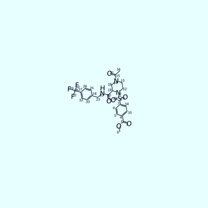 COC(=O)c1ccc(S(=O)(=O)N2CCN(C(C)=O)CC2C(=O)NCc2ccc(C(F)(F)F)cc2)cc1